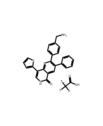 NCc1ccc(-c2nc3c(-c4cccs4)c[nH]c(=O)c3cc2-c2ccccc2)cc1.O=C(O)C(F)(F)F